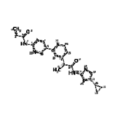 C=CC(=O)Nc1ccc(-c2cc(C(C)C(=O)Nc3ncc(C4CC4)s3)ccn2)cn1